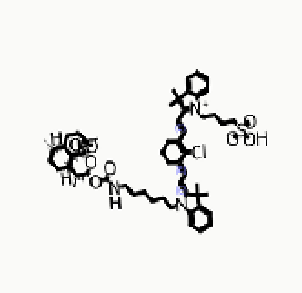 C[C@@H]1C(OC(=O)NCCCCCCN2/C(=C/C=C3\CCCC(/C=C/C4=[N+](CCCCS(=O)(=O)O)c5ccccc5C4(C)C)=C3Cl)C(C)(C)c3ccccc32)O[C@H]2O[C@@]3(C)CC[C@@H]4[C@@H](C)CC[C@H]1[C@]24O3